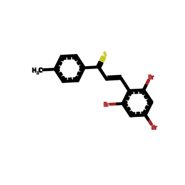 Cc1ccc(C(=S)C=Cc2c(Br)cc(Br)cc2Br)cc1